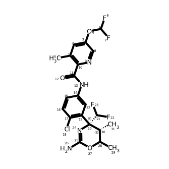 Cc1cc(OC(F)F)cnc1C(=O)Nc1ccc(Cl)c([C@]2(C(F)F)N=C(N)OC(C)[C@H]2C)c1